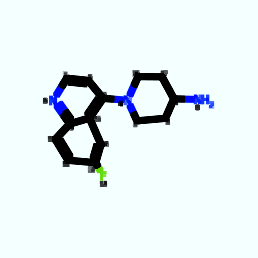 NC1CCN(c2ccnc3ccc(F)cc23)CC1